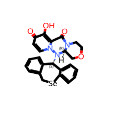 O=C1c2c(O)c(=O)ccn2N([C@H]2c3ccccc3C[Se]c3ccccc32)[C@@H]2COCCN12